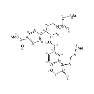 COCCCN1C(=O)COc2ccc(COC3CN(C(=O)OC(C)(C)C)CCC3c3ccc(C(=O)OC)cc3)cc21